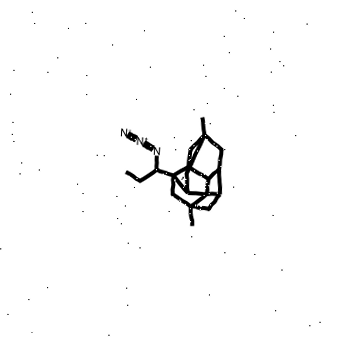 CCC(N=[N+]=[N-])C12CC3(C)CC4C5CC(C)(CC41)CC2C5C3